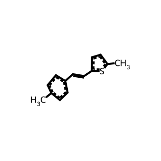 Cc1ccc(/C=C/c2ccc(C)s2)cc1